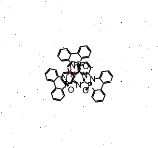 O=P1(c2nc(P3(=O)c4ccccc4-c4ccccc4N3c3ccccc3)nc(P3(=O)c4ccccc4-c4ccccc4N3c3ccccc3)n2)c2ccccc2-c2ccccc2N1c1ccccc1